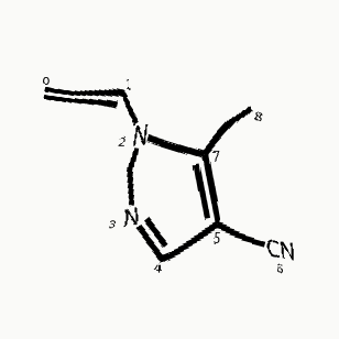 C=Cn1ncc(C#N)c1C